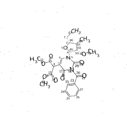 CC[C@H]1O[C@@H](n2cc(C(C(=O)OC)C(=O)OC)c(=O)n(C(=O)c3ccccc3)c2=O)[C@@H](OC)C1C